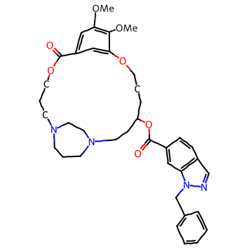 COc1cc2cc(c1OC)OCCCC(OC(=O)c1ccc3cnn(Cc4ccccc4)c3c1)CCN1CCCN(CCCOC2=O)CC1